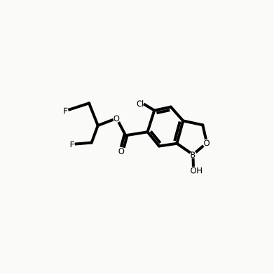 O=C(OC(CF)CF)c1cc2c(cc1Cl)COB2O